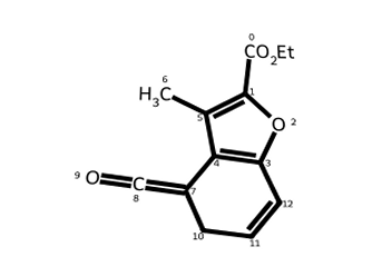 CCOC(=O)c1oc2c(c1C)C(=C=O)CC=C2